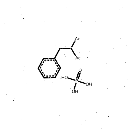 CC(=O)C(Cc1ccccc1)C(C)=O.O=P(O)(O)O